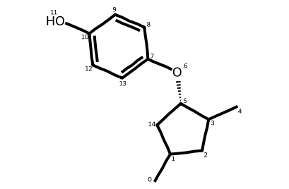 CC1CC(C)[C@@H](Oc2ccc(O)cc2)C1